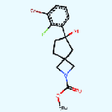 CC(C)(C)OC(=O)N1CC2(CC[C@](O)(c3cccc(Br)c3F)C2)C1